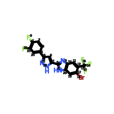 Fc1ccc(-c2cc(-c3nc4cc(C(F)(F)F)c(Br)cc4[nH]3)[nH]n2)cc1F